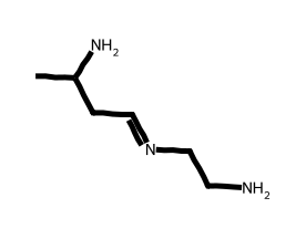 CC(N)CC=NCCN